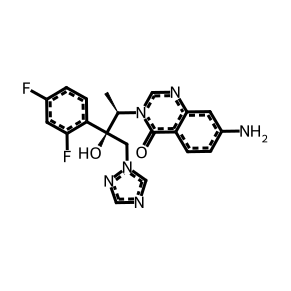 C[C@@H](n1cnc2cc(N)ccc2c1=O)[C@](O)(Cn1cncn1)c1ccc(F)cc1F